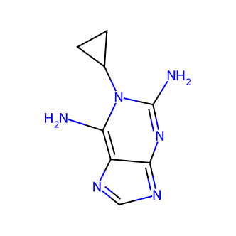 Nc1nc2ncnc-2c(N)n1C1CC1